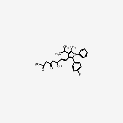 Cc1c(C(C)C)c(/C=C/C(O)CC(=O)CC(=O)O)c(-c2ccc(F)cc2)n1-c1ccccc1